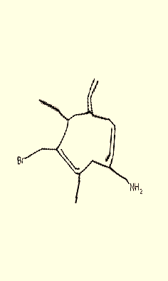 C=C1C=C(N)C(C)=C(Br)C1C